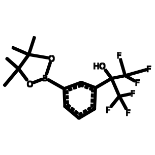 CC1(C)OB(c2cccc(C(O)(C(F)(F)F)C(F)(F)F)c2)OC1(C)C